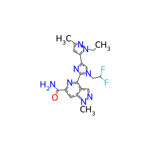 CCn1nc(C)cc1-c1cn(CC(F)F)c(-c2nc(C(N)=O)cc3c2cnn3C)n1